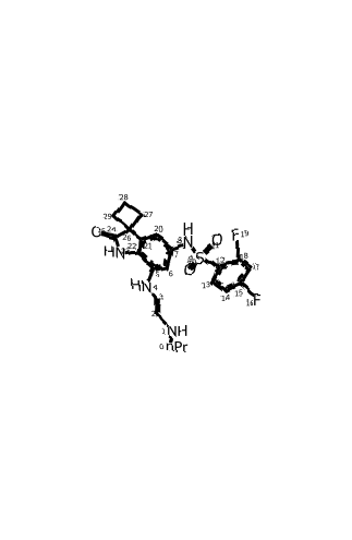 CCCN/C=C/Nc1cc(NS(=O)(=O)c2ccc(F)cc2F)cc2c1NC(=O)C21CCC1